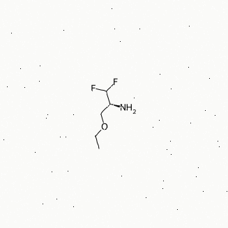 CCOC[C@H](N)C(F)F